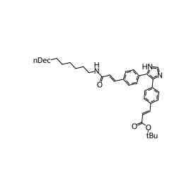 CCCCCCCCCCCCCCCCNC(=O)C=Cc1ccc(-c2[nH]cnc2-c2ccc(C=CC(=O)OC(C)(C)C)cc2)cc1